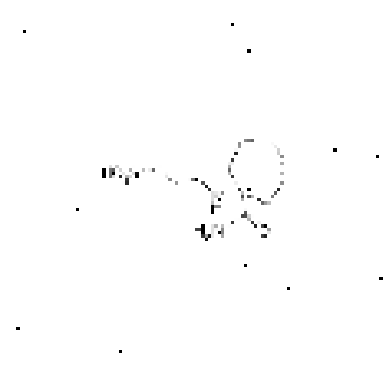 NC(=O)C1(NCCCS(=O)(=O)O)CCCCCC1